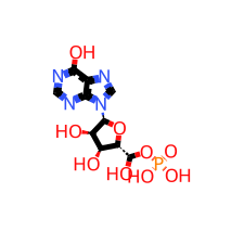 O=P(O)(O)OC(O)[C@H]1O[C@@H](n2cnc3c(O)ncnc32)[C@H](O)[C@@H]1O